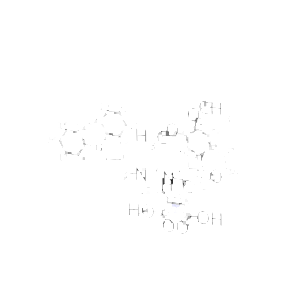 CCC1(CCN2CCN(CCCC(c3ccccc3)c3ccccc3)CC2/C(=C/C(=O)O)C(=O)O)OCCc2cc(OC)c(OC)cc21